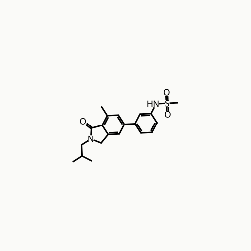 Cc1cc(-c2cccc(NS(C)(=O)=O)c2)cc2c1C(=O)N(CC(C)C)C2